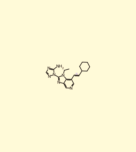 CCn1c(-n2ncnc2N)nc2cncc(/C=C/C3CCCCC3)c21